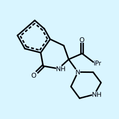 CC(C)C(=O)C1(N2CCNCC2)Cc2ccccc2C(=O)N1